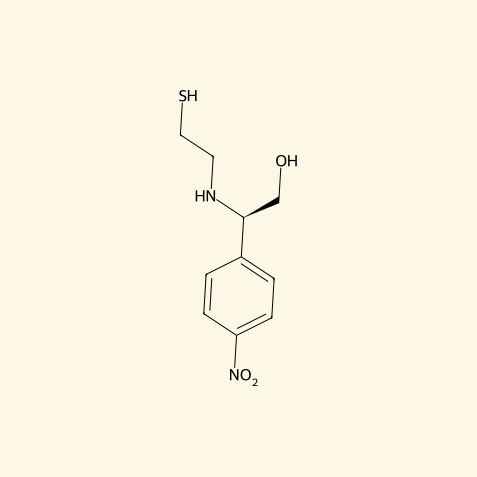 O=[N+]([O-])c1ccc([C@H](CO)NCCS)cc1